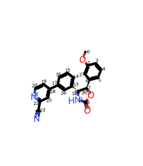 COc1cccc([C@H]2OC(=O)N[C@@H]2c2cccc(-c3ccnc(C#N)c3)c2)c1